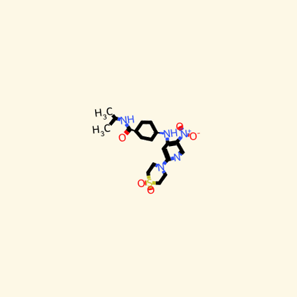 CC(C)NC(=O)[C@H]1CC[C@@H](Nc2cc(N3CCS(=O)(=O)CC3)ncc2[N+](=O)[O-])CC1